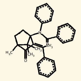 CC(=C1C(=O)C2(C)CCC1(N(C(=O)c1ccccc1)c1ccccc1)C2(C)C)c1ccccc1